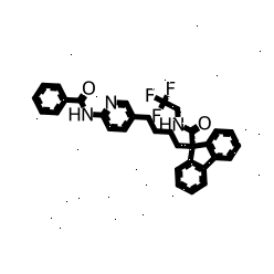 O=C(Nc1ccc(CCCCC2(C(=O)NCC(F)(F)F)c3ccccc3-c3ccccc32)cn1)c1ccccc1